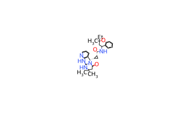 CCC1(C)CC(NC(=O)[C@@H]2CC2[C@@H](c2cccnc2)N2C(=N)NC(C)(C)CC2=O)c2ccccc2O1